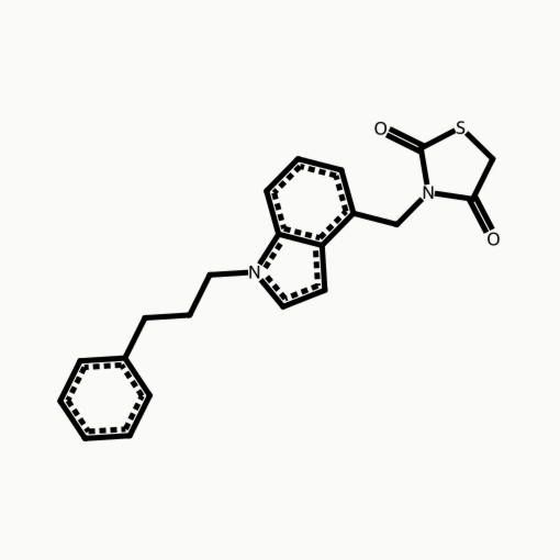 O=C1CSC(=O)N1Cc1cccc2c1ccn2CCCc1ccccc1